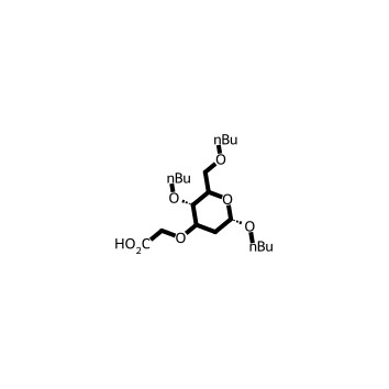 CCCCOCC1O[C@H](OCCCC)CC(OCC(=O)O)[C@@H]1OCCCC